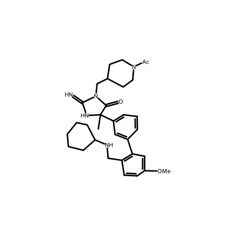 COc1ccc(CNC2CCCCC2)c(-c2cccc(C3(C)NC(=N)N(CC4CCN(C(C)=O)CC4)C3=O)c2)c1